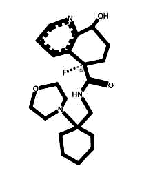 O=C(NCC1(N2CCOCC2)CCCCC1)[C@]1(F)CCC(O)c2ncccc21